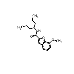 CCCC(CCC)NC(=O)c1cc2cccc(OC)c2o1